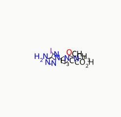 CN(C(=O)O)C(C)(C)C(=O)N1CCCC(n2nc(I)c3c(N)ncnc32)C1